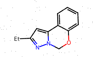 CCc1cc2n(n1)COc1ccccc1-2